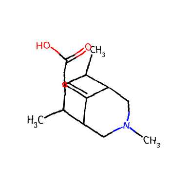 CC1CC(C)C2CN(C)CC1C2=CC(=O)O